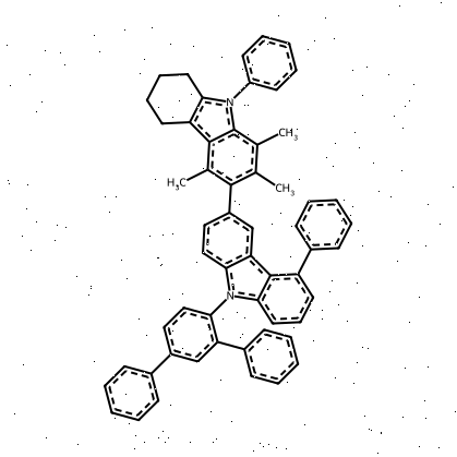 Cc1c(-c2ccc3c(c2)c2c(-c4ccccc4)cccc2n3-c2ccc(-c3ccccc3)cc2-c2ccccc2)c(C)c2c3c(n(-c4ccccc4)c2c1C)CCCC3